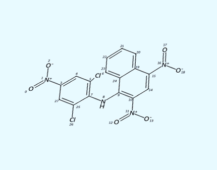 O=[N+]([O-])c1cc(Cl)c(Nc2c([N+](=O)[O-])cc([N+](=O)[O-])c3ccccc23)c(Cl)c1